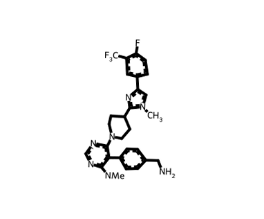 CNc1ncnc(N2CCC(c3nc(-c4ccc(F)c(C(F)(F)F)c4)cn3C)CC2)c1-c1ccc(CN)cc1